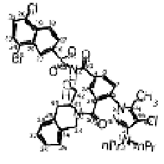 CCCN(CCC)c1nn(-c2ccc(C(=O)NS(=O)(=O)c3ccc4c(Cl)ccc(Br)c4c3)cc2C(=O)N2Cc3ccccc3C[C@H]2CO)c(C)c1Cl